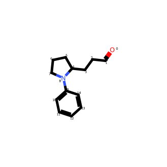 O=[C]CCC1CCCN1c1ccccc1